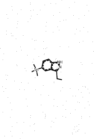 CCc1n[nH]c2cc[c]([Sn]([CH3])([CH3])[CH3])cc12